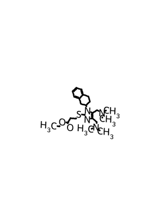 CCOC(=O)CCSc1nc(CN(C)C)c(CN(C)C)n1C1CCc2ccccc2C1